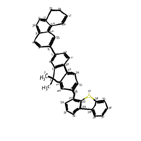 CC1(C)c2cc(-c3ccc4ccc5c(c4c3)C=CCC5)ccc2-c2ccc(-c3cccc4c3sc3ccccc34)cc21